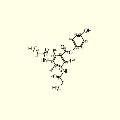 CCC(=O)Nc1c(I)c(NC(=O)CC)c(I)c(C(=O)Oc2ccc(O)cc2)c1I